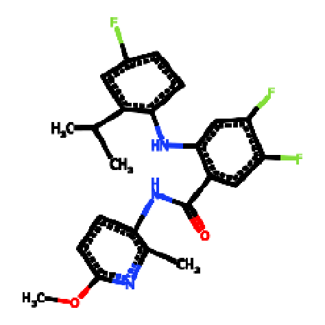 COc1ccc(NC(=O)c2cc(F)c(F)cc2Nc2ccc(F)cc2C(C)C)c(C)n1